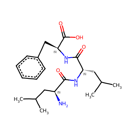 CC(C)C[C@H](NC(=O)[C@@H](N)CC(C)C)C(=O)N[C@@H](Cc1ccccc1)C(=O)O